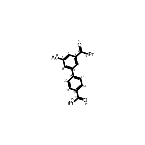 CC(=O)c1cc(C(=O)C(C)C)cc(-c2ccc(C(=O)C(C)C)cc2)c1